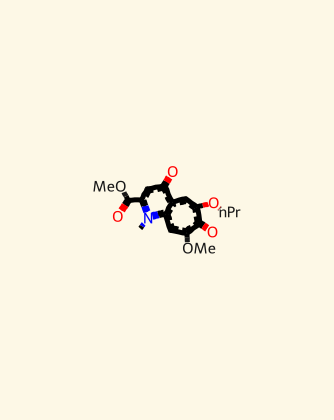 CCCOc1cc2c(=O)cc(C(=O)OC)n(C)c2cc(OC)c1=O